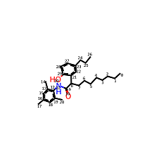 CCCCCCCCC(C(=O)Nc1c(C)cc(C)cc1C)c1cc(CCC)ccc1O